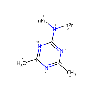 CCCN(CCC)c1nc(C)nc(C)n1